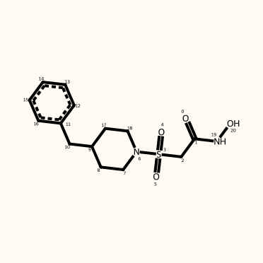 O=C(CS(=O)(=O)N1CCC(Cc2ccccc2)CC1)NO